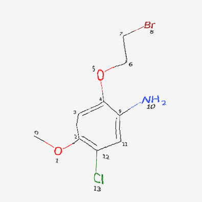 COc1cc(OCCBr)c(N)cc1Cl